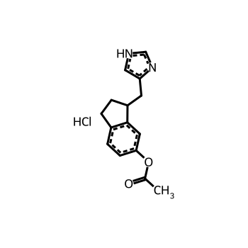 CC(=O)Oc1ccc2c(c1)C(Cc1c[nH]cn1)CC2.Cl